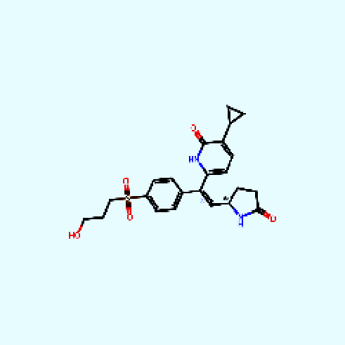 O=C1CC[C@H](/C=C(/c2ccc(S(=O)(=O)CCCO)cc2)c2ccc(C3CC3)c(=O)[nH]2)N1